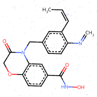 C=Nc1ccc(CN2C(=O)COc3ccc(C(=O)NO)cc32)cc1/C=C\C